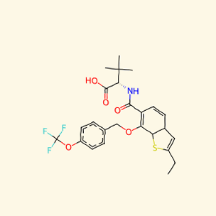 CCC1=CC2C=CC(C(=O)N[C@H](C(=O)O)C(C)(C)C)=C(OCc3ccc(OC(F)(F)F)cc3)C2S1